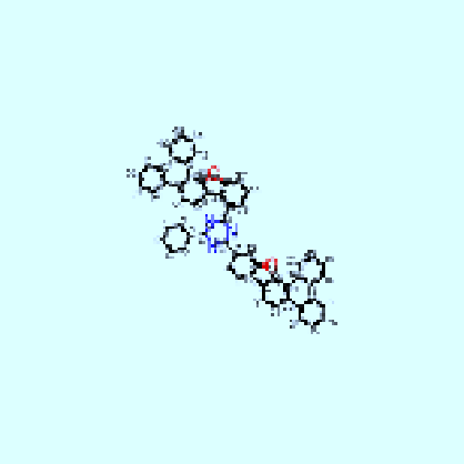 c1ccc(-c2nc(-c3ccc4c(c3)oc3c(-c5ccccc5)c(-c5ccccc5)ccc34)nc(-c3cccc4oc5c(-c6ccccc6)c(-c6ccccc6)ccc5c34)n2)cc1